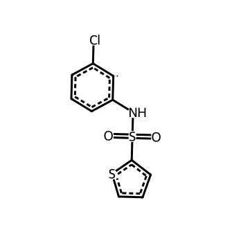 O=S(=O)(Nc1[c]c(Cl)ccc1)c1cccs1